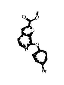 COC(=O)c1cc2ccnc(Oc3ccc(Br)cc3)c2s1